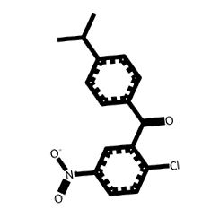 CC(C)c1ccc(C(=O)c2cc([N+](=O)[O-])ccc2Cl)cc1